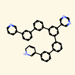 C1=CC(c2cccc(-c3cccc(-c4cc(-c5cncnc5)cc(-c5cccc(-c6cccc(-c7cccnc7)c6)c5)c4)c3)c2)=CNC1